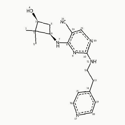 CC1(C)[C@@H](O)C[C@H]1Nc1nc(NCCc2ccncc2)ncc1C#N